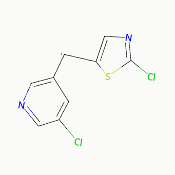 Clc1cncc([CH]c2cnc(Cl)s2)c1